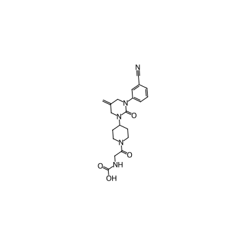 C=C1CN(c2cccc(C#N)c2)C(=O)N(C2CCN(C(=O)CNC(=O)O)CC2)C1